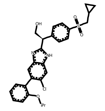 CC(C)Oc1ccccc1-c1cc2nc([C@@H](CO)c3ccc(S(=O)(=O)CC4CC4)cc3)[nH]c2cc1Cl